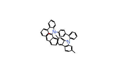 Cc1ccc2c3ccc(C)cc3n(-c3ccccc3-c3ccc(N(c4ccccc4-c4ccccc4)c4cccc5ccccc45)cc3)c2c1